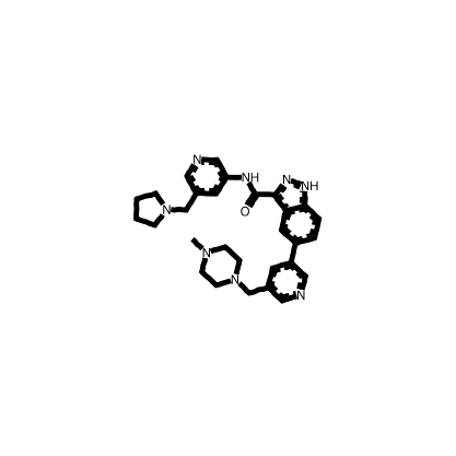 CN1CCN(Cc2cncc(-c3ccc4[nH]nc(C(=O)Nc5cncc(CN6CCCC6)c5)c4c3)c2)CC1